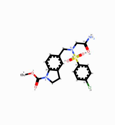 CC(C)(C)OC(=O)N1CCc2cc(CN(CC(N)=O)S(=O)(=O)c3ccc(Cl)cc3)ccc21